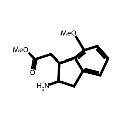 COC(=O)CC1c2c(cccc2OC)CC1N